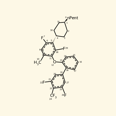 CCCCC[C@H]1CC[C@H](c2c(F)cc(C)c(Oc3ccccc3-c3cc(F)c(C(F)(F)F)c(F)c3)c2F)CC1